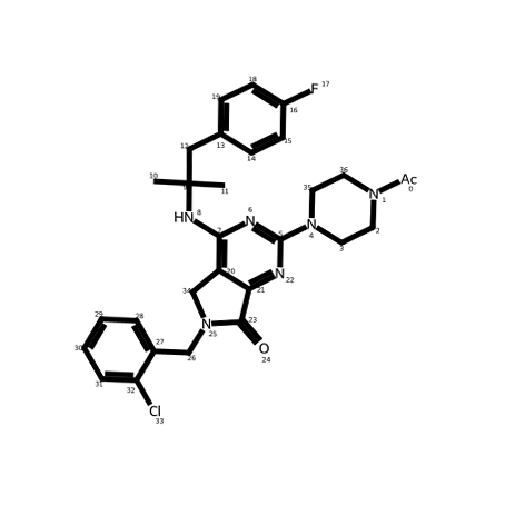 CC(=O)N1CCN(c2nc(NC(C)(C)Cc3ccc(F)cc3)c3c(n2)C(=O)N(Cc2ccccc2Cl)C3)CC1